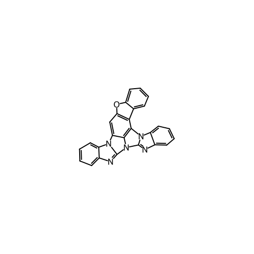 c1ccc2c(c1)nc1n2c2cc3oc4ccccc4c3c3c2n1c1nc2ccccc2n31